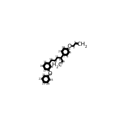 C=CCOc1ccc(C(C=C)CCCc2cccc(Oc3ccccc3)c2)cc1